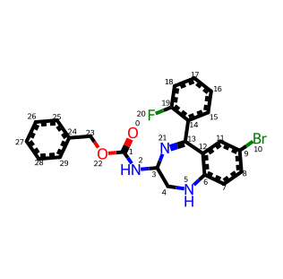 O=C(NC1CNc2ccc(Br)cc2C(c2ccccc2F)=N1)OCc1ccccc1